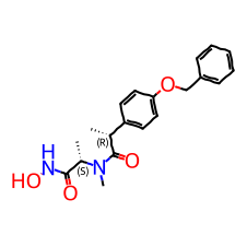 C[C@@H](C(=O)N(C)[C@@H](C)C(=O)NO)c1ccc(OCc2ccccc2)cc1